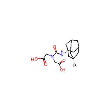 O=C(O)CN(CC(=O)O)C(=O)N[C@]12CC3CC(C[C@@H](C3)C1)C2